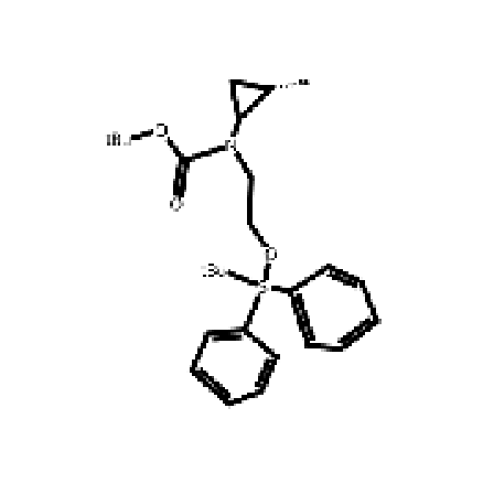 C[C@H]1CC1N(CCO[Si](c1ccccc1)(c1ccccc1)C(C)(C)C)C(=O)OC(C)(C)C